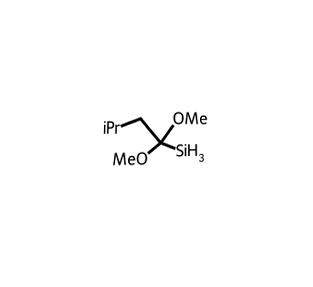 COC([SiH3])(CC(C)C)OC